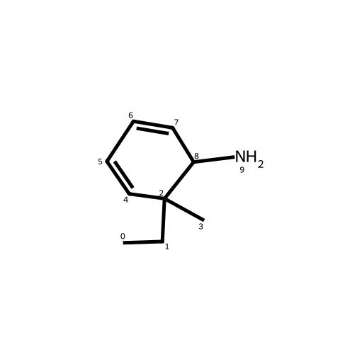 CCC1(C)C=CC=CC1N